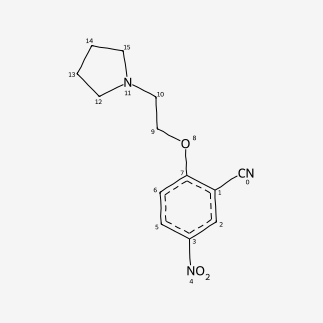 N#Cc1cc([N+](=O)[O-])ccc1OCCN1CCCC1